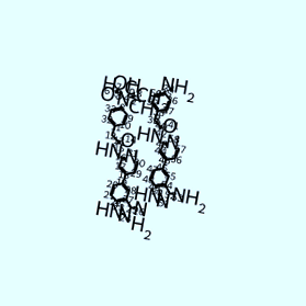 CC(C)(C)N(C(=O)O)c1ccc(CC(=O)Nc2cc(-c3ccc4[nH]nc(N)c4c3)ccn2)cc1.Nc1ccc(CC(=O)Nc2cc(-c3ccc4[nH]nc(N)c4c3)ccn2)cc1